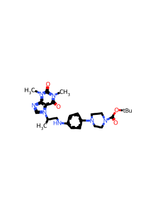 CC(CNc1ccc(N2CCN(C(=O)OC(C)(C)C)CC2)cc1)n1cnc2c1c(=O)n(C)c(=O)n2C